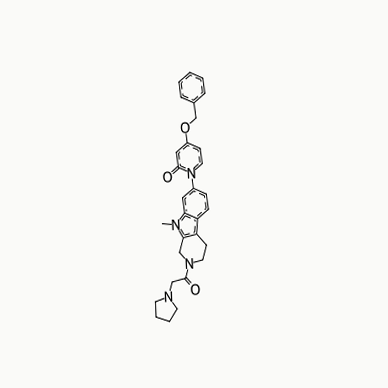 Cn1c2c(c3ccc(-n4ccc(OCc5ccccc5)cc4=O)cc31)CCN(C(=O)CN1CCCC1)C2